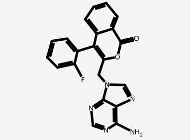 Nc1ncnc2c1ncn2Cc1oc(=O)c2ccccc2c1-c1ccccc1F